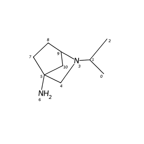 CC(C)N1CC2(N)CCC1C2